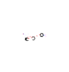 CC(=O)NC[C@@H]1C[C@@H]2C[C@H]1[C@]1(C2)OO[C@]2(CCC[C@@H](OC(=O)Oc3ccc([N+](=O)[O-])cc3)C2)O1